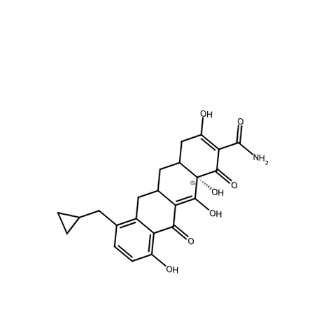 NC(=O)C1=C(O)CC2CC3Cc4c(CC5CC5)ccc(O)c4C(=O)C3=C(O)[C@]2(O)C1=O